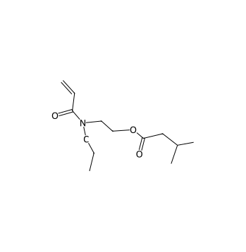 C=CC(=O)N(CCC)CCOC(=O)CC(C)C